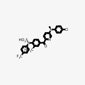 CN(c1ccc(Cl)cc1)c1ccc(C(=O)c2ccc(N(c3ccc(C(F)(F)F)cc3)S(=O)(=O)O)c(C(=O)O)c2)nc1